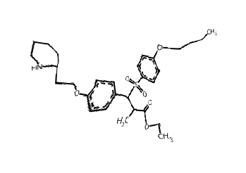 CCCCOc1ccc(S(=O)(=O)C(c2ccc(OCCC3CCCCN3)cc2)C(C)C(=O)OCC)cc1